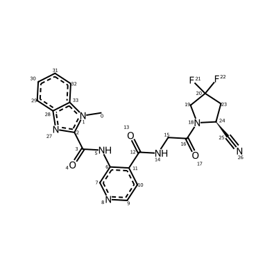 Cn1c(C(=O)Nc2cnccc2C(=O)NCC(=O)N2CC(F)(F)C[C@H]2C#N)nc2ccccc21